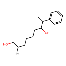 CCC(CO)CCCCC(O)C(C)c1ccccc1